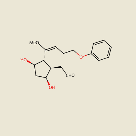 COC(=CCCOc1ccccc1)[C@@H]1[C@@H](CC=O)[C@@H](O)C[C@H]1O